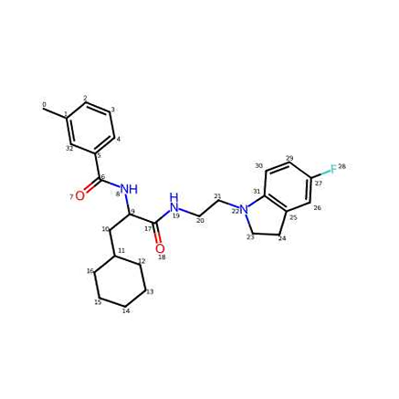 Cc1cccc(C(=O)NC(CC2CCCCC2)C(=O)NCCN2CCc3cc(F)ccc32)c1